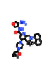 C=CC(=O)N1CCN(c2cc(C(=O)N[C@@H]3COC[C@@H]3N)nc3c2CCN(c2cccc4cccc(C)c24)C3)CC1